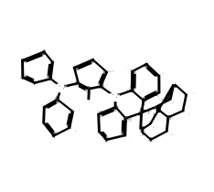 Clc1c(N(c2ccccc2)c2ccccc2)cccc1N1c2ccccc2C2(c3ccccc31)C1CCC3CCC(C1)CC32